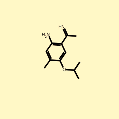 CC(=N)c1cc(OC(C)C)c(C)cc1N